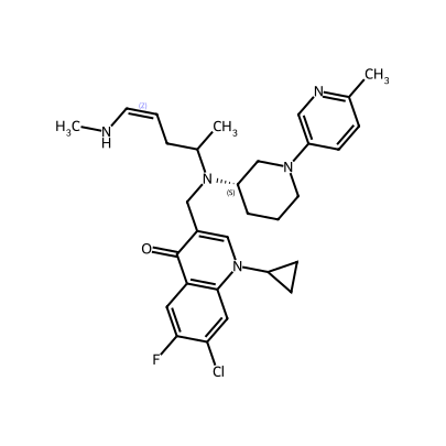 CN/C=C\CC(C)N(Cc1cn(C2CC2)c2cc(Cl)c(F)cc2c1=O)[C@H]1CCCN(c2ccc(C)nc2)C1